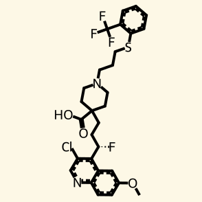 COc1ccc2ncc(Cl)c([C@@H](F)CCC3(C(=O)O)CCN(CCCSc4ccccc4C(F)(F)F)CC3)c2c1